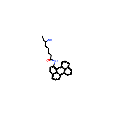 CCC(N)CCCCC(=O)Nc1ccc2cccc3c4cccc5cccc(c1c23)c54